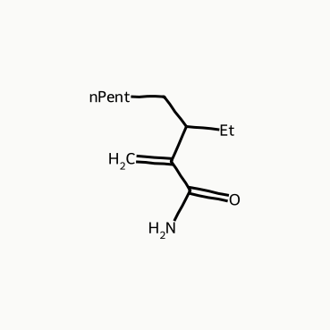 C=C(C(N)=O)C(CC)CCCCCC